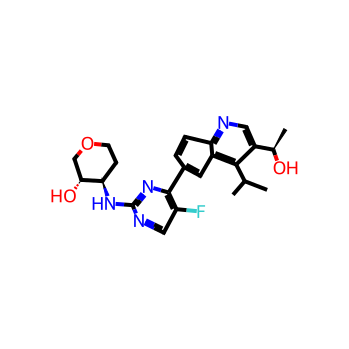 CC(C)c1c([C@@H](C)O)cnc2ccc(-c3nc(N[C@@H]4CCOC[C@H]4O)ncc3F)cc12